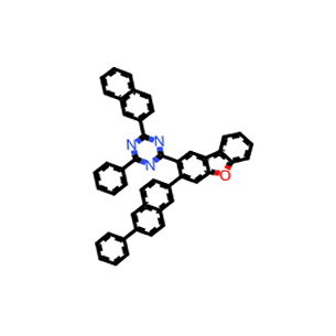 c1ccc(-c2ccc3cc(-c4cc5oc6ccccc6c5cc4-c4nc(-c5ccccc5)nc(-c5ccc6ccccc6c5)n4)ccc3c2)cc1